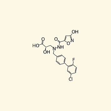 O=C(NN(Cc1ccc(-c2cc(Cl)ccc2F)cc1)C[C@@H](O)C(=O)O)c1cc(O)no1